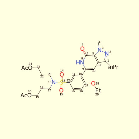 CCCc1nn(C)c2c(=O)[nH]c(-c3cc(S(=O)(=O)N(CCCOC(C)=O)CCCOC(C)=O)ccc3OCC)cc12